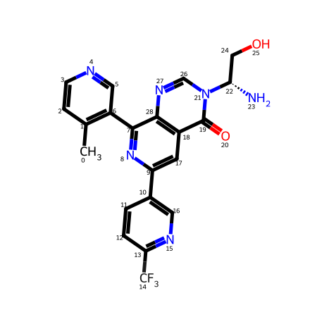 Cc1ccncc1-c1nc(-c2ccc(C(F)(F)F)nc2)cc2c(=O)n([C@@H](N)CO)cnc12